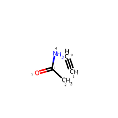 C#C.CC(N)=O